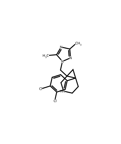 Cc1nc(C)n(CC23CNCCC2(c2ccc(Cl)c(Cl)c2)C3)n1